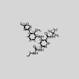 [2H]C([2H])([2H])NC(=O)c1nnc(NC(=O)NCC)cc1Nc1cccc(-c2noc(C)n2)c1OC